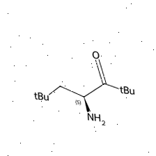 CC(C)(C)C[C@H](N)C(=O)C(C)(C)C